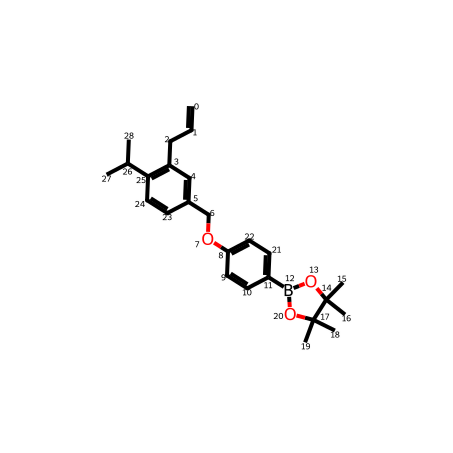 C=CCc1cc(COc2ccc(B3OC(C)(C)C(C)(C)O3)cc2)ccc1C(C)C